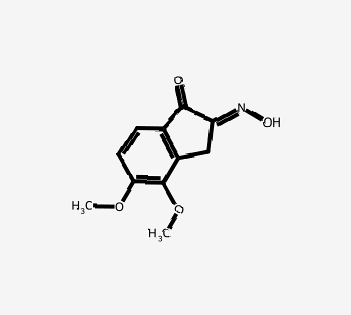 COc1ccc2c(c1OC)C/C(=N\O)C2=O